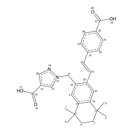 CC1(C)CCC(C)(C)c2cc(Cn3cc(C(=O)O)cn3)c(/C=C/c3ccc(C(=O)O)cc3)cc21